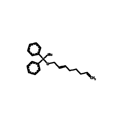 C=CCCC/C=C/CO[Si](c1ccccc1)(c1ccccc1)C(C)(C)C